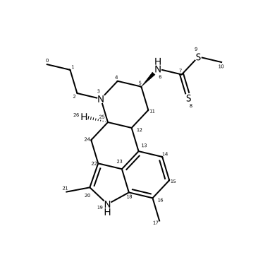 CCCN1C[C@@H](NC(=S)SC)CC2c3ccc(C)c4[nH]c(C)c(c34)C[C@H]21